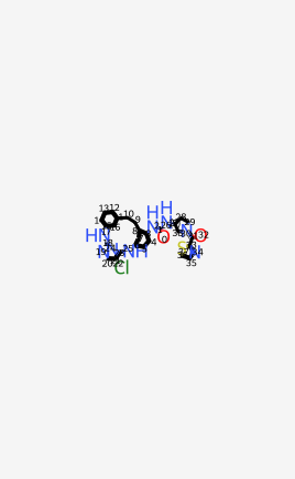 O=C(Nc1ccc2cc1CCc1cccc(c1)Nc1ncc(Cl)c(n1)N2)N[C@H]1CCN(C(=O)c2nccs2)C1